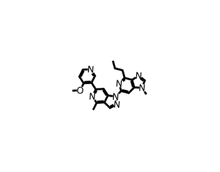 CCCc1nc(-n2ncc3c(C)nc(-c4cnccc4OC)cc32)cc2c1ncn2C